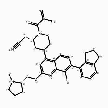 C=C(F)C(=O)N1CCN(c2nc(OC[C@@H]3CCCN3C)nc3c(F)c(-c4cccc5c4CCC5)ncc23)C[C@@H]1CC#N